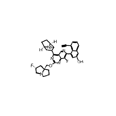 C#Cc1cccc2cc(O)cc(-c3ncc4c(C5C[C@H]6CC[C@@H](C5)N6)nc(OC[C@@]56CCCN5C[C@H](F)C6)nc4c3F)c12